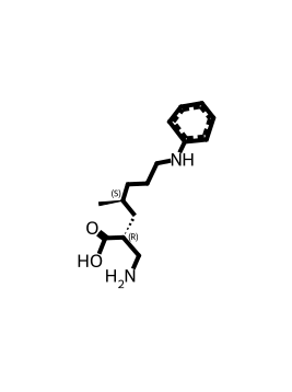 C[C@@H](CCCNc1ccccc1)C[C@H](CN)C(=O)O